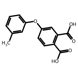 Cc1cccc(Oc2ccc(C(=O)O)c(C(=O)O)c2)c1